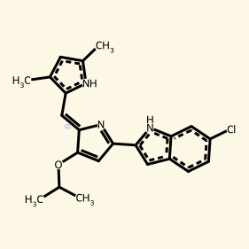 Cc1cc(C)c(/C=C2\N=C(c3cc4ccc(Cl)cc4[nH]3)C=C2OC(C)C)[nH]1